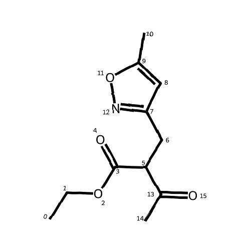 CCOC(=O)C(Cc1cc(C)on1)C(C)=O